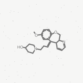 COc1ccc2c(c1)C(=CCCN1CCC(O)CC1)C1C=CC=NC1CO2